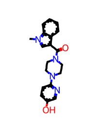 Cn1cc(C(=O)N2CCN(c3ccc(O)cn3)CC2)c2ccccc21